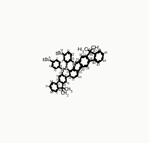 CC(C)(C)c1ccc(N2B3c4cc(C(C)(C)C)ccc4-n4c5cc6c(cc5c5ccc(c3c54)-c3cc4c(cc32)-c2ccccc2C4(C)C)-c2ccccc2C6(C)C)cc1